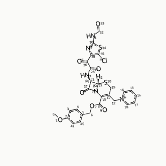 COc1ccc(COC(=O)C2=C(C[n+]3ccccc3)CS[C@H]3[C@H](NC(=O)C(=O)c4nc(NC=O)sc4Cl)C(=O)N23)cc1